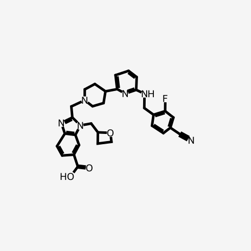 N#Cc1ccc(CNc2cccc(C3CCN(Cc4nc5ccc(C(=O)O)cc5n4CC4CCO4)CC3)n2)c(F)c1